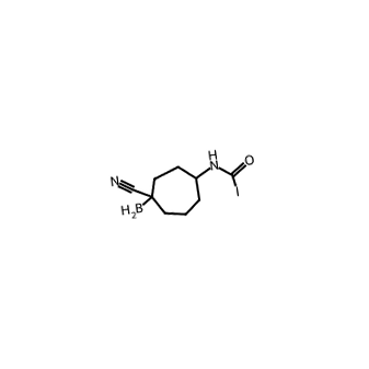 BC1(C#N)CCCC(NC(=O)I)CC1